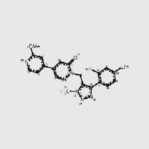 COc1cc(-c2cnn(Cc3c(-c4ccc(Cl)cc4F)nnn3C)c(=O)c2)ccn1